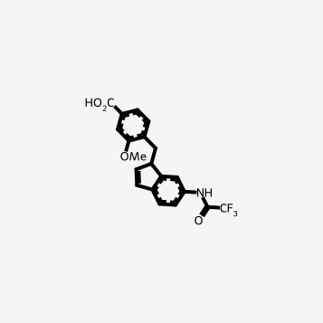 COc1cc(C(=O)O)ccc1CC1C=Cc2ccc(NC(=O)C(F)(F)F)cc21